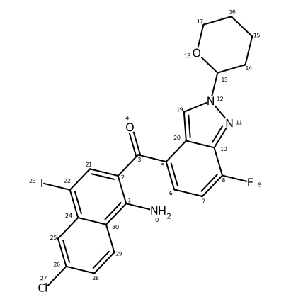 Nc1c(C(=O)c2ccc(F)c3nn(C4CCCCO4)cc23)cc(I)c2cc(Cl)ccc12